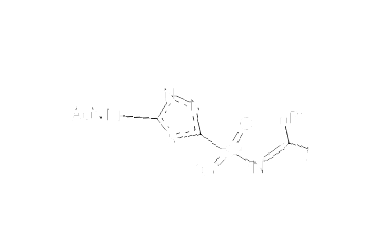 CCC/C(C)=N\S(=O)(=O)c1nnc(NC(C)=O)s1